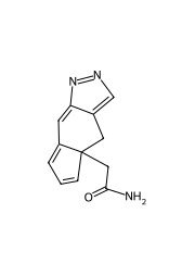 NC(=O)CC12C=CC=C1C=C1N=NC=C1C2